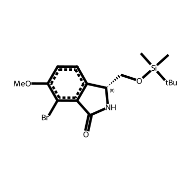 COc1ccc2c(c1Br)C(=O)N[C@H]2CO[Si](C)(C)C(C)(C)C